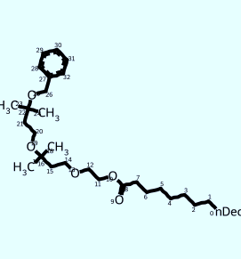 CCCCCCCCCCCCCCCCCC(=O)OCCOCCC(C)(C)OCCC(C)(C)OCc1ccccc1